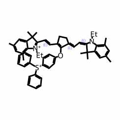 CCN1/C(=C/C=C2\CCC(/C=C/C3=[N+](CC)c4c(C)cc(C)cc4C3(C)C)=C2Oc2ccc([S+](c3ccccc3)c3ccccc3)cc2)C(C)(C)c2cc(C)cc(C)c21